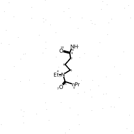 CCCC(=O)N(CC)CCCC([NH])=O